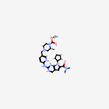 C[C@H]1CN(Cc2ccc(Nc3ncc4cc(C(=O)N(C)C)n(C5CCCC5)c4n3)nc2)CCN1C(=O)OC(C)(C)C